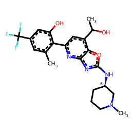 Cc1cc(C(F)(F)F)cc(O)c1-c1cc(C(C)O)c2oc(N[C@@H]3CCCN(C)C3)nc2n1